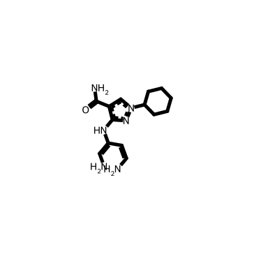 N/C=C\C(=C/N)Nc1nn(C2CCCCC2)cc1C(N)=O